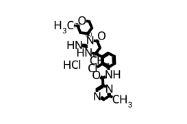 Cc1cncc(C(=O)Nc2cccc([C@]3(C)CC(=O)N([C@@H]4CCO[C@H](C)C4)C(=N)N3)c2Cl)n1.Cl